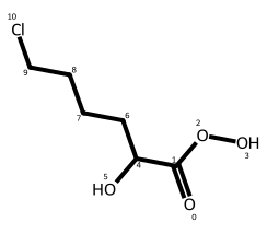 O=C(OO)C(O)CCCCCl